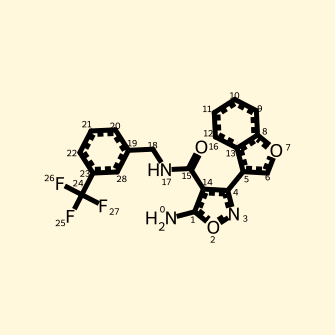 Nc1onc(-c2coc3ccccc23)c1C(=O)NCc1cccc(C(F)(F)F)c1